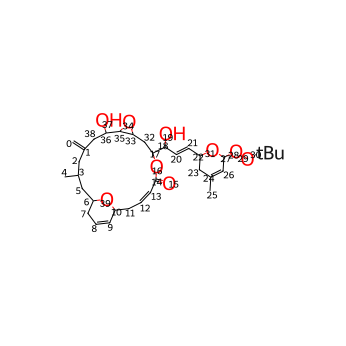 C=C1CC(C)CC2CC=CC(C/C=C\C(=O)OC(C(O)C=CC3CC(C)=CC(OOC(C)(C)C)O3)CC3OC3C(O)C1)O2